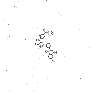 C=C(C)c1ccc2c(=O)c(-c3cccc(-c4cc(Nc5ccc(C(=O)N6CCOCC6)cn5)c(=O)n(C)c4)c3)c[nH]c2c1